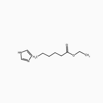 CCCCCC(=O)OCC.c1c[nH]cn1